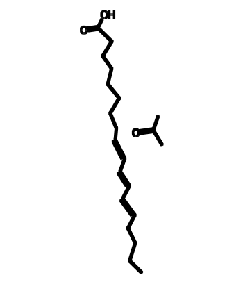 CC(C)=O.CCCCC=CC=CC=CCCCCCCCC(=O)O